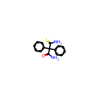 NC(=O)C(C(N)=S)(c1ccccc1)c1ccccc1